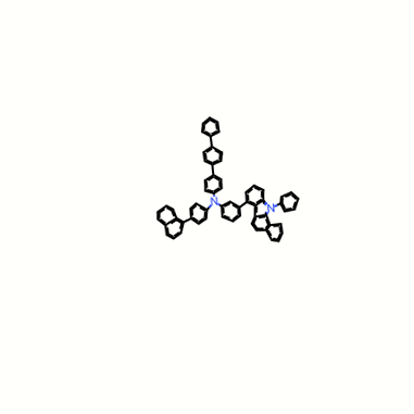 c1ccc(-c2ccc(-c3ccc(N(c4ccc(-c5cccc6ccccc56)cc4)c4cccc(-c5cccc6c5c5ccc7ccccc7c5n6-c5ccccc5)c4)cc3)cc2)cc1